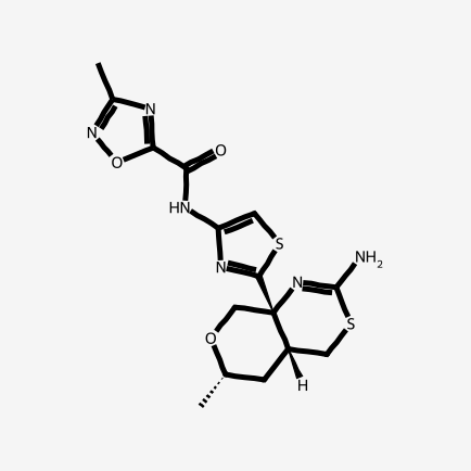 Cc1noc(C(=O)Nc2csc([C@]34CO[C@@H](C)C[C@H]3CSC(N)=N4)n2)n1